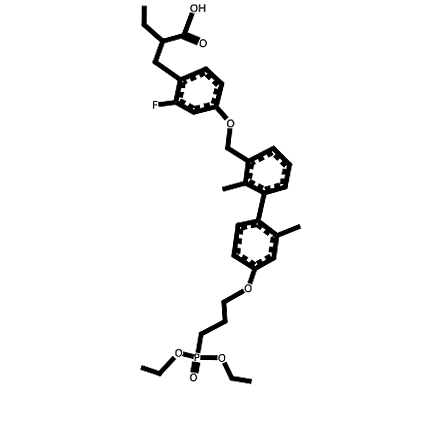 CCOP(=O)(CCCOc1ccc(-c2cccc(COc3ccc(CC(CC)C(=O)O)c(F)c3)c2C)c(C)c1)OCC